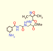 COC(=O)C(CNC(=O)CNC(=O)c1cccc(N)c1)NC(=O)c1c(C)noc1C